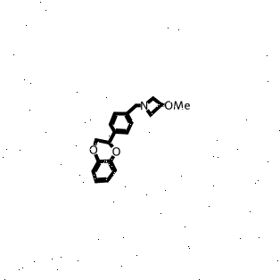 COC1CN(Cc2ccc(C3COc4ccccc4O3)cc2)C1